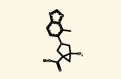 COC(=O)C12CN(c3ccc4ncnn4c3C)CC1(C(F)(F)F)C2